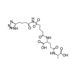 CC(NC(=O)CCC(NC(=O)CCCS(=O)(=O)NC(=O)CCCc1nnn[nH]1)C(=O)O)C(=O)O